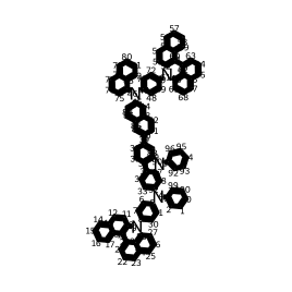 c1ccc(N(c2ccc(N3c4ccc5ccccc5c4-c4cccc5cccc3c45)cc2)c2ccc3c4ccc(-c5ccc6cc(N(c7ccc(N8c9ccc%10ccccc%10c9-c9cccc%10cccc8c9%10)cc7)c7cccc8ccccc78)ccc6c5)cc4n(-c4ccccc4)c3c2)cc1